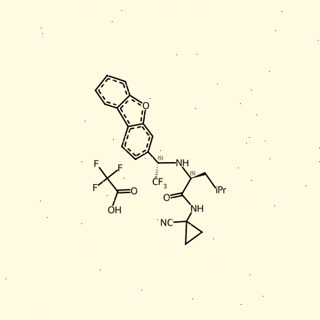 CC(C)C[C@H](N[C@@H](c1ccc2c(c1)oc1ccccc12)C(F)(F)F)C(=O)NC1(C#N)CC1.O=C(O)C(F)(F)F